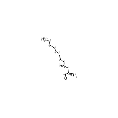 CCCCCCCCNCC(C)C=O